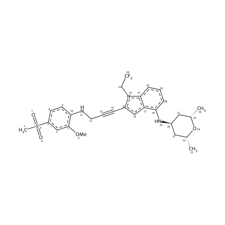 COc1cc(S(C)(=O)=O)ccc1NCC#Cc1cc2c(N[C@@H]3C[C@@H](C)O[C@@H](C)C3)cccc2n1CC(F)(F)F